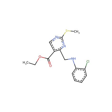 CCOC(=O)c1cnc(SC)nc1CNc1ccccc1Cl